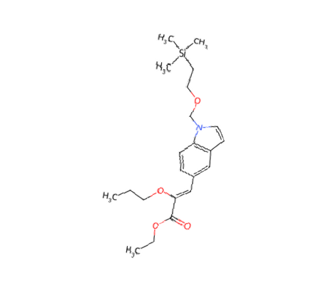 CCCO/C(=C\c1ccc2c(ccn2COCC[Si](C)(C)C)c1)C(=O)OCC